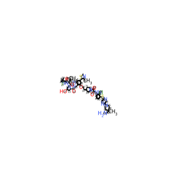 Cc1ncsc1-c1ccc(CNC(=O)[C@@H]2C[C@@H](O)CN2C(=O)[C@@H](NC(=O)C2(F)CC2)C(C)(C)C)c(OCCC2CCN(C(=O)C(=O)Nc3cccc(Sc4cnc(N5CCC(C)(CN)CC5)cn4)c3Cl)CC2)c1